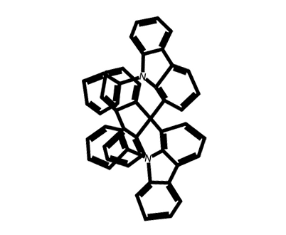 c1ccc(-n2c3ccccc3c3cccc(C4(c5cccc6c7ccccc7n(-c7ccccc7)c56)c5ccccc5-c5ccccc54)c32)cc1